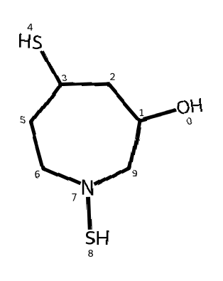 OC1CC(S)CCN(S)C1